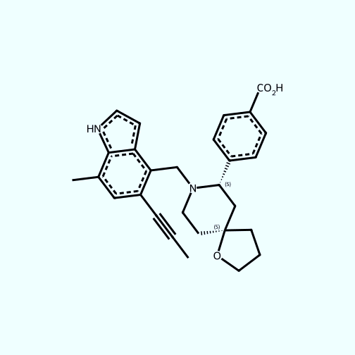 CC#Cc1cc(C)c2[nH]ccc2c1CN1CC[C@@]2(CCCO2)C[C@H]1c1ccc(C(=O)O)cc1